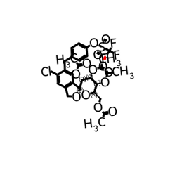 CC(=O)OC[C@H]1O[C@]2(OCc3cc(Cl)c(Cc4ccc(OS(=O)(=O)C(F)(F)F)cc4)cc32)[C@H](OC(C)=O)[C@@H](OC(C)=O)[C@H]1OC(C)=O